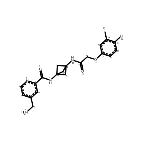 NCc1ccnc(C(=O)NC23CC(NC(=O)COc4ccc(Cl)c(Cl)c4)(C2)C3)c1